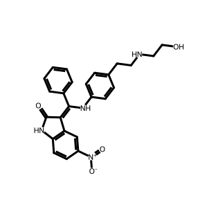 O=C1Nc2ccc([N+](=O)[O-])cc2C1=C(Nc1ccc(CCNCCO)cc1)c1ccccc1